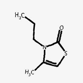 CCCn1c(C)csc1=O